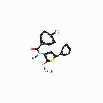 CC(C)N(C(=O)c1ccc(C(F)(F)F)cc1)c1cc(-c2ccccc2)sc1OC(=O)O